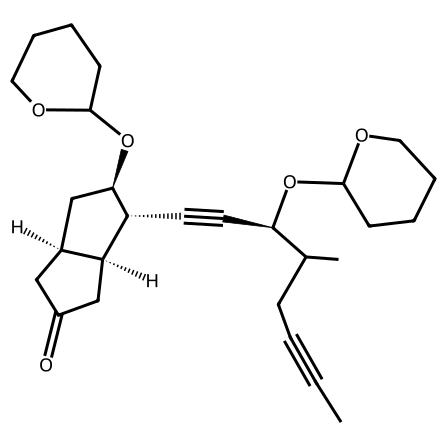 CC#CCC(C)[C@@H](C#C[C@@H]1[C@H]2CC(=O)C[C@H]2C[C@H]1OC1CCCCO1)OC1CCCCO1